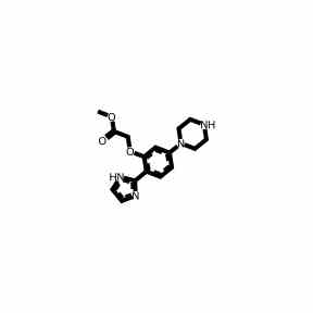 COC(=O)COc1cc(N2CCNCC2)ccc1-c1ncc[nH]1